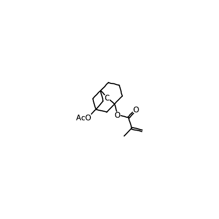 C=C(C)C(=O)OC12CCCC3(CC(OC(C)=O)(C3)C1)C2